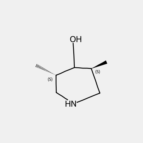 C[C@H]1CNC[C@H](C)C1O